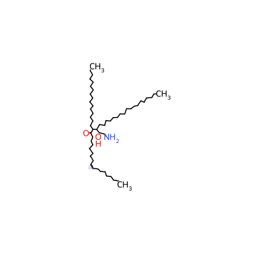 CCCCCCCC/C=C\CCCCCCCC(=O)C(CCCCCCCCCCCCCCCC)C(CCCCCCCCCCCCCCCCCC)C(O)CN